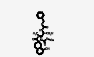 CN(C[C@H](NC(=O)OCc1ccccc1)C(=O)O)C(=O)[C@]1(NC(=O)OC(C)(C)C)CCc2cccc(O)c2C1